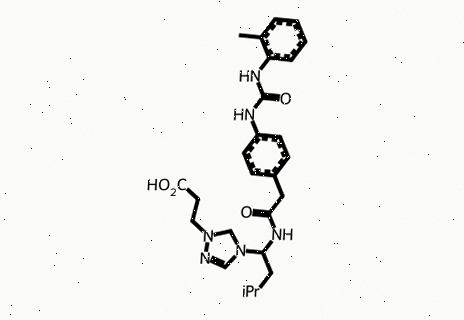 Cc1ccccc1NC(=O)Nc1ccc(CC(=O)NC(CC(C)C)N2C=NN(CCC(=O)O)C2)cc1